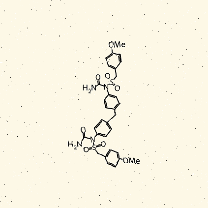 COc1ccc(CS(=O)(=O)N(C(N)=O)c2ccc(Cc3ccc(N(C(N)=O)S(=O)(=O)Cc4ccc(OC)cc4)cc3)cc2)cc1